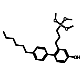 CCCCCCc1ccc(-c2ccc(O)cc2CCC[Si](OC)(OC)OC)cc1